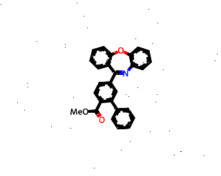 COC(=O)c1ccc(C2=Nc3ccccc3Oc3ccccc32)cc1-c1ccccc1